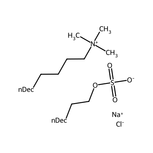 CCCCCCCCCCCCCC[N+](C)(C)C.CCCCCCCCCCCCOS(=O)(=O)[O-].[Cl-].[Na+]